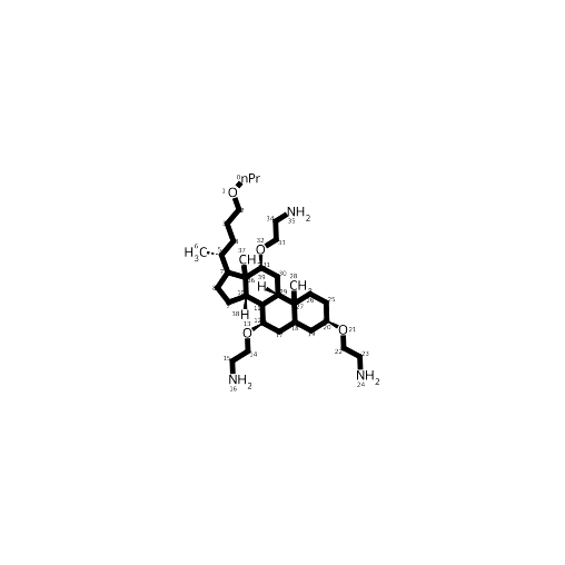 CCCOCCC[C@@H](C)C1CC[C@H]2C3[C@H](OCCN)CC4C[C@H](OCCN)CCC4(C)[C@H]3C[C@H](OCCN)C12C